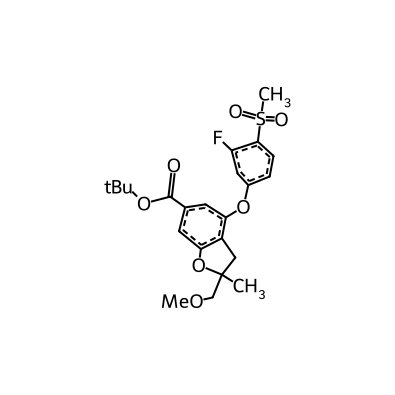 COCC1(C)Cc2c(Oc3ccc(S(C)(=O)=O)c(F)c3)cc(C(=O)OC(C)(C)C)cc2O1